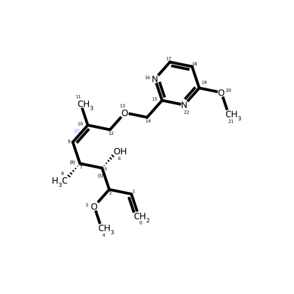 C=CC(OC)[C@@H](O)[C@H](C)/C=C(/C)COCc1nccc(OC)n1